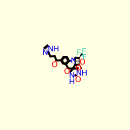 C[C@@H]1O[C@H](C(F)(F)F)CN2c3ccc(C(=O)CCc4ncc[nH]4)cc3CC3(C(=O)NC(=O)NC3=O)[C@@H]12